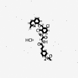 CC(=O)N(C)c1ccc(/C=C/C(=O)NCC(=O)N(C)c2ccc(Cl)c(COc3cccc4ccc(C)nc34)c2Cl)cc1.Cl